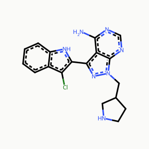 Nc1ncnc2c1c(-c1[nH]c3ccccc3c1Cl)nn2CC1CCNC1